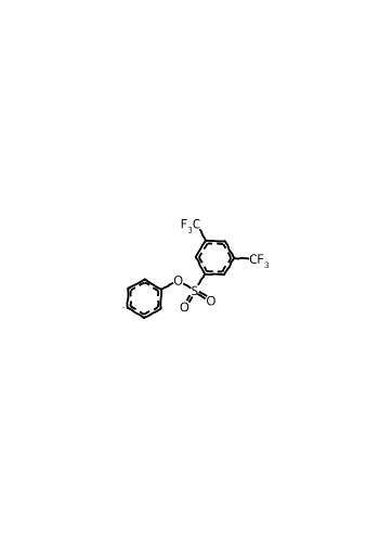 O=S(=O)(Oc1cc[c]cc1)c1cc(C(F)(F)F)cc(C(F)(F)F)c1